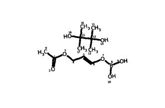 CC(=O)OC/C=C/OB(O)O.CC(C)(O)C(C)(C)O